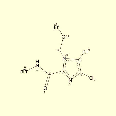 CCCNC(=O)c1nc(Cl)c(Cl)n1COCC